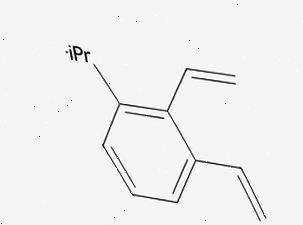 C=Cc1cccc([C](C)C)c1C=C